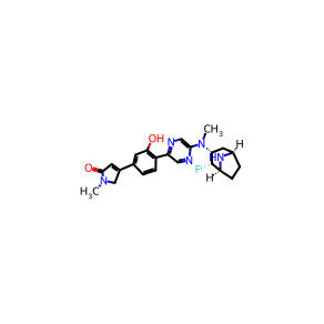 CN1CC(c2ccc(-c3cnc(N(C)[C@@H]4C[C@H]5CC[C@H](N5)[C@@H]4F)cn3)c(O)c2)=CC1=O